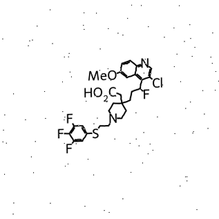 COc1ccc2ncc(Cl)c([C@@H](F)CCC3(CC(=O)O)CCN(CCSc4cc(F)c(F)c(F)c4)CC3)c2c1